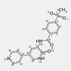 CS(=O)(=O)c1ccc(C(=O)Nc2cc(-c3ccncc3)c[nH]c2=O)cc1